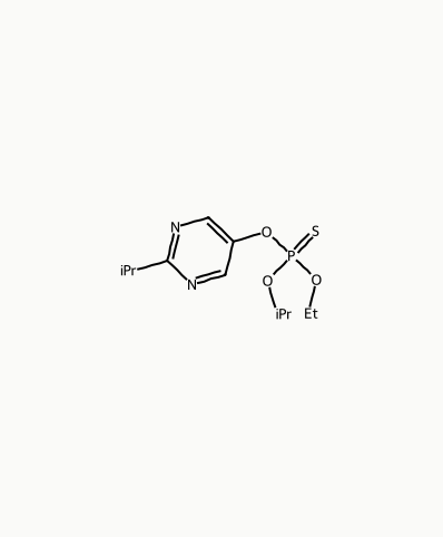 CCOP(=S)(Oc1cnc(C(C)C)nc1)OC(C)C